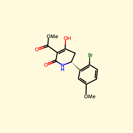 COC(=O)C1=C(O)C[C@H](c2cc(OC)ccc2Br)NC1=O